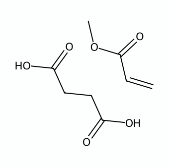 C=CC(=O)OC.O=C(O)CCC(=O)O